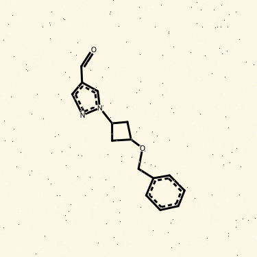 O=Cc1cnn(C2CC(OCc3ccccc3)C2)c1